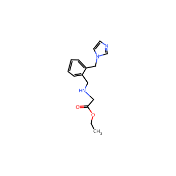 CCOC(=O)CNCc1ccccc1Cn1ccnc1